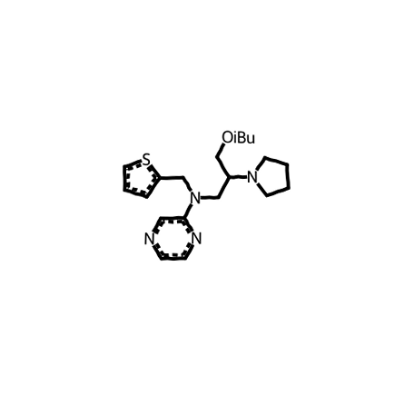 CC(C)COCC(CN(Cc1cccs1)c1cnccn1)N1CCCC1